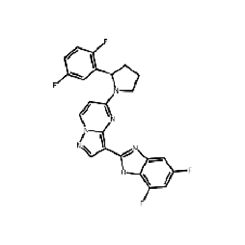 Fc1ccc(F)c([C@H]2CCCN2c2ccn3ncc(-c4nc5cc(F)cc(F)c5o4)c3n2)c1